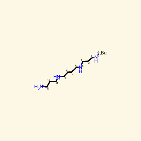 CC(C)(C)NCCCNCCCCNCCCN